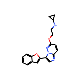 c1ccc2oc(-c3cnc4ccc(OCCNC5CC5)nn34)cc2c1